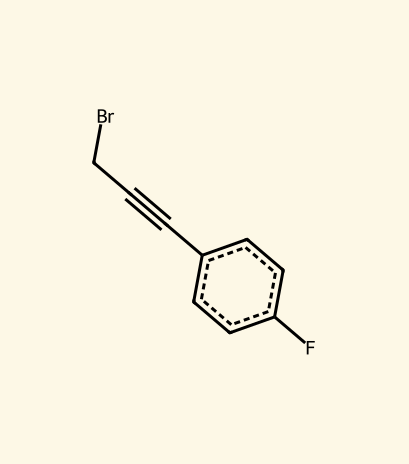 Fc1ccc(C#CCBr)cc1